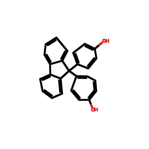 OC1=C=CC=C(C2(c3ccc(O)cc3)c3ccccc3-c3ccccc32)C=C1